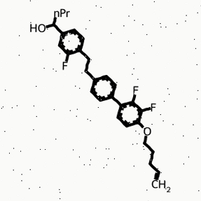 C=CCCCOc1ccc(-c2ccc(CCc3ccc(C(O)CCC)cc3F)cc2)c(F)c1F